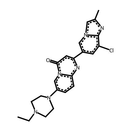 CCN1CCN(c2ccc3nc(-c4cc(Cl)c5nc(C)cn5c4)cc(=O)n3c2)CC1